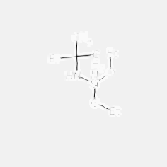 CCO[SiH](NC(C)(C)CC)OCC